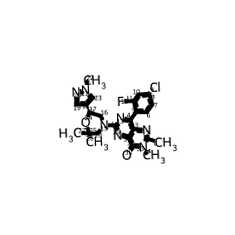 Cc1nc2c(-c3ccc(Cl)cc3F)nc(N3C[C@H](c4cnn(C)c4)OC(C)(C)C3)nc2c(=O)n1C